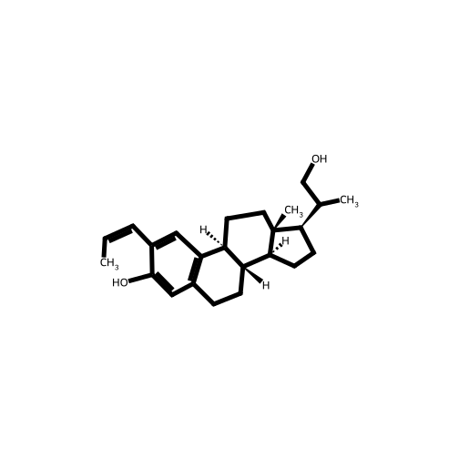 C/C=C\c1cc2c(cc1O)CC[C@@H]1[C@@H]2CC[C@]2(C)[C@@H](C(C)CO)CC[C@@H]12